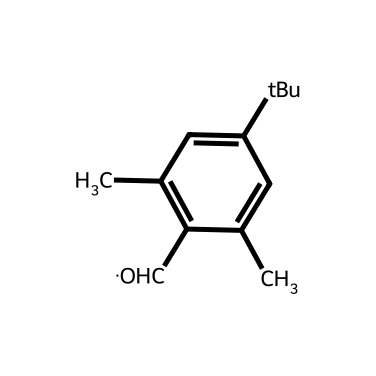 Cc1cc(C(C)(C)C)cc(C)c1[C]=O